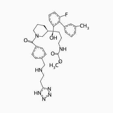 COC(=O)NCCC[C@@](O)(c1cccc(F)c1-c1cccc(C)c1)[C@@H]1CCCN(C(=O)c2ccc(CNCCc3nnn[nH]3)cc2)C1